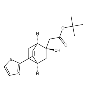 CC(C)(C)OC(=O)C[C@]1(O)C[C@H]2CC[C@@H]1C=C2c1nccs1